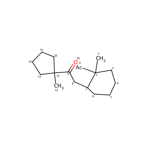 CC(=O)C1(C)CCCCC1CC(=O)C1(C)CCCC1